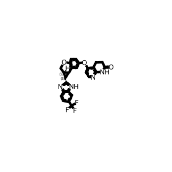 O=C1CCc2c(Oc3ccc4c(c3)C3[C@H](CO4)[C@H]3c3nc4ccc(C(F)(F)F)cc4[nH]3)ccnc2N1